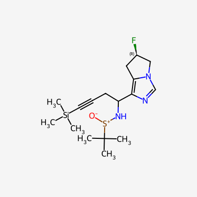 CC(C)(C)[S+]([O-])NC(CC#C[Si](C)(C)C)c1ncn2c1C[C@@H](F)C2